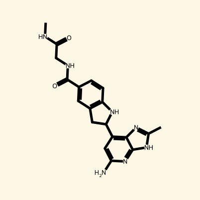 CNC(=O)CNC(=O)c1ccc2c(c1)CC(c1cc(N)nc3[nH]c(C)nc13)N2